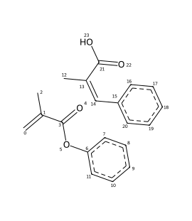 C=C(C)C(=O)Oc1ccccc1.CC(=Cc1ccccc1)C(=O)O